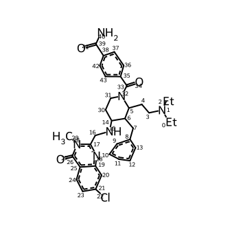 CCN(CC)CCC1C(Cc2ccccc2)C(NCc2nc3cc(Cl)ccc3c(=O)n2C)CCN1C(=O)c1ccc(C(N)=O)cc1